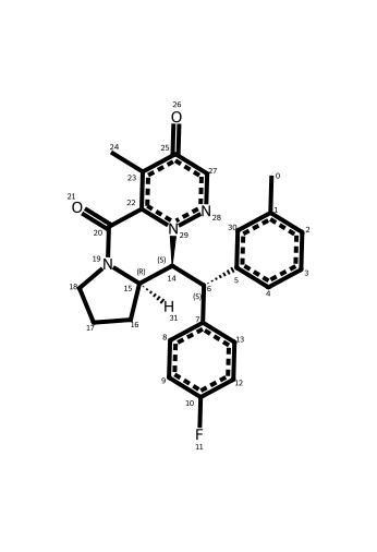 Cc1cccc([C@H](c2ccc(F)cc2)[C@H]2[C@H]3CCCN3C(=O)c3c(C)c(=O)cnn32)c1